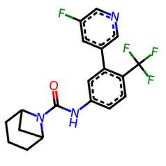 O=C(Nc1ccc(C(F)(F)F)c(-c2cncc(F)c2)c1)N1C2CCCC1C2